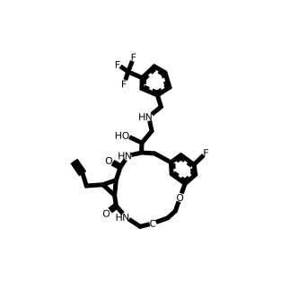 C#CCC1C2C(=O)NCCCCOc3cc(F)cc(c3)CC(C(O)CNCc3cccc(C(F)(F)F)c3)NC(=O)C12